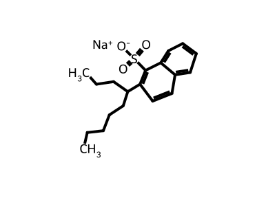 CCCCCC(CCC)c1ccc2ccccc2c1S(=O)(=O)[O-].[Na+]